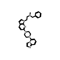 CN(CCn1ccc2ccc(N3CCN(c4cccc5nccn45)CC3)nc21)Cc1ccccc1